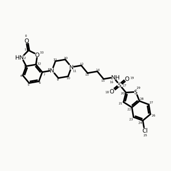 O=c1[nH]c2cccc(N3CCN(CCCCNS(=O)(=O)c4cc5cc(Cl)ccc5s4)CC3)c2o1